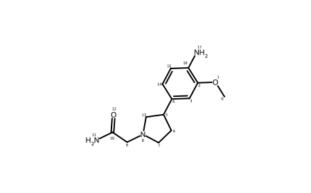 COc1cc(C2CCN(CC(N)=O)C2)ccc1N